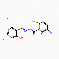 O=C(N/N=C/c1ccccc1O)c1cc(I)ccc1Cl